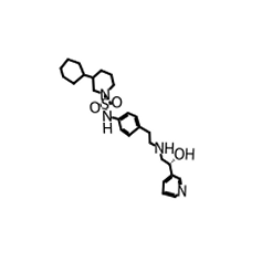 O=S(=O)(Nc1ccc(CCNC[C@H](O)c2cccnc2)cc1)N1CCCC(C2CCCCC2)C1